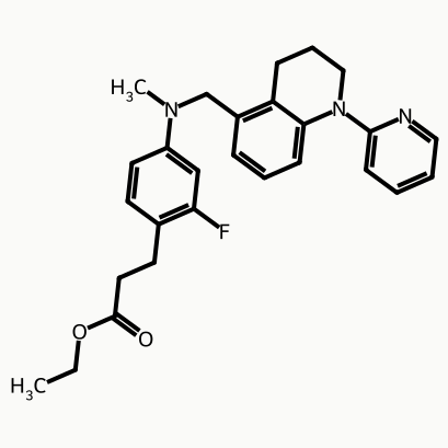 CCOC(=O)CCc1ccc(N(C)Cc2cccc3c2CCCN3c2ccccn2)cc1F